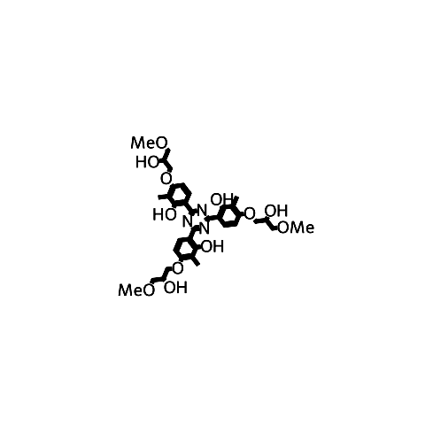 COCC(O)COc1ccc(-c2nc(-c3ccc(OCC(O)COC)c(C)c3O)nc(-c3ccc(OCC(O)COC)c(C)c3O)n2)c(O)c1C